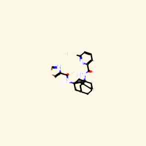 Cc1cccc(C(=O)NC23CC4CC(CC(NC(=O)c5cscn5)(C4)C2)C3)n1